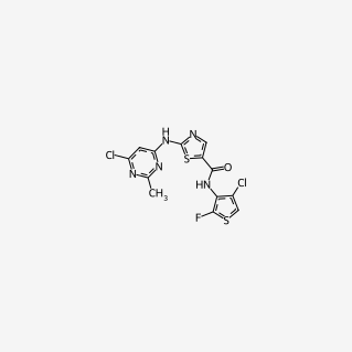 Cc1nc(Cl)cc(Nc2ncc(C(=O)Nc3c(Cl)csc3F)s2)n1